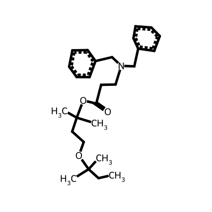 CCC(C)(C)OCCC(C)(C)OC(=O)CCN(Cc1ccccc1)Cc1ccccc1